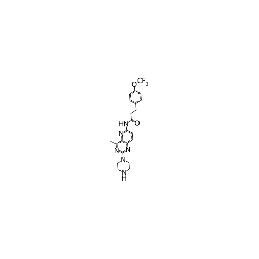 Cc1nc(N2CCNCC2)nc2ccc(NC(=O)CCc3ccc(OC(F)(F)F)cc3)nc12